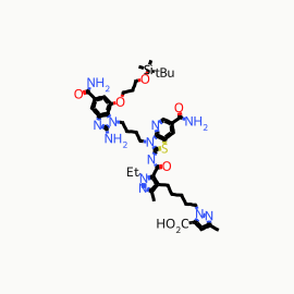 CCn1nc(C)c(CCCCCn2nc(C)cc2C(=O)O)c1C(=O)/N=c1\sc2cc(C(N)=O)cnc2n1CCCCn1c(N)nc2cc(C(N)=O)cc(OCCCO[Si](C)(C)C(C)(C)C)c21